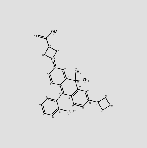 COC(=O)C1C[N+](=C2C=CC3=C(c4ccccc4C(=O)[O-])c4ccc(N5CCC5)cc4C(C)(C)C3=C2)C1